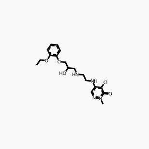 CCOc1ccccc1OCC(O)CNCCNc1cnn(C)c(=O)c1Cl